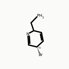 PCC1C=C[C@H](Br)C=N1